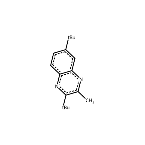 Cc1nc2cc(C(C)(C)C)ccc2nc1C(C)(C)C